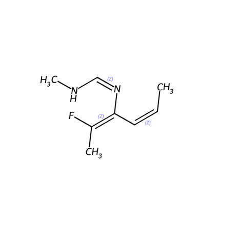 C\C=C/C(/N=C\NC)=C(\C)F